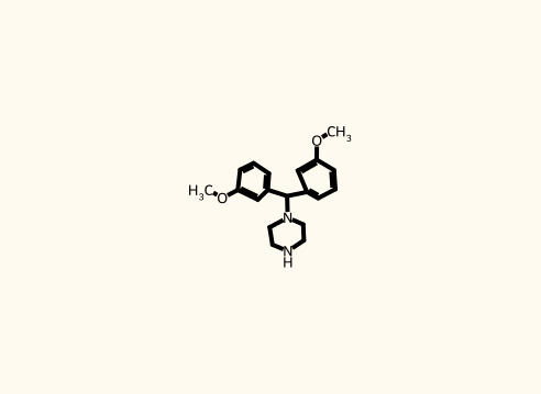 COc1cccc(C(c2cccc(OC)c2)N2CCNCC2)c1